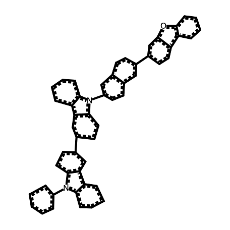 c1ccc(-n2c3ccccc3c3cc(-c4ccc5c(c4)c4ccccc4n5-c4ccc5cc(-c6ccc7c(c6)oc6ccccc67)ccc5c4)ccc32)cc1